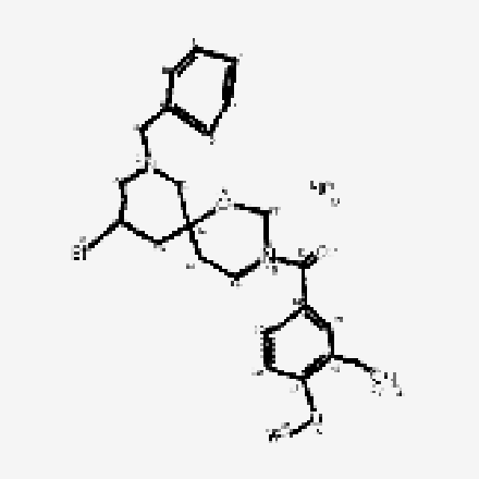 CCC1CN(Cc2ccccc2)CC2(CCN(C(=O)c3ccc(OC(C)C)c(C)c3)CO2)C1.Cl